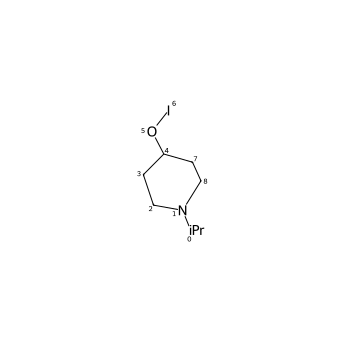 CC(C)N1CCC(OI)CC1